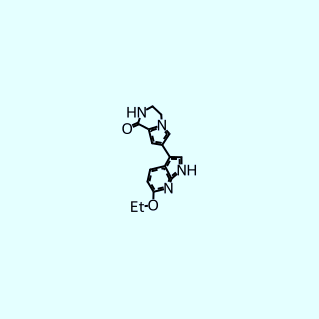 CCOc1ccc2c(-c3cc4n(c3)CCNC4=O)c[nH]c2n1